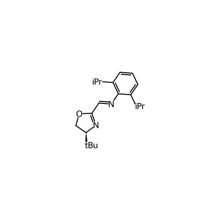 CC(C)c1cccc(C(C)C)c1/N=C/C1=N[C@@H](C(C)(C)C)CO1